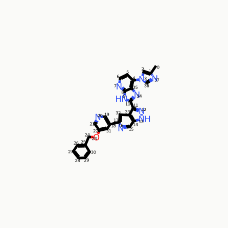 Cc1cn(-c2ccnc3[nH]c(-c4n[nH]c5cnc(-c6cncc(OCc7ccccc7)c6)cc45)nc23)cn1